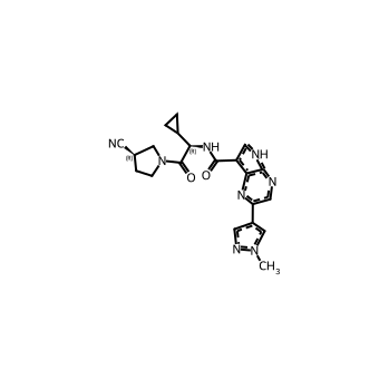 Cn1cc(-c2cnc3[nH]cc(C(=O)N[C@@H](C(=O)N4CC[C@@H](C#N)C4)C4CC4)c3n2)cn1